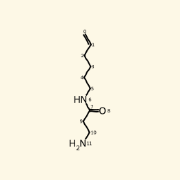 C=CCCCCNC(=O)CCN